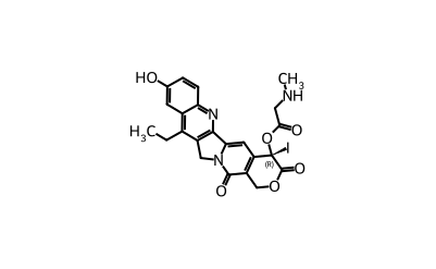 CCc1c2c(nc3ccc(O)cc13)-c1cc3c(c(=O)n1C2)COC(=O)[C@@]3(I)OC(=O)CNC